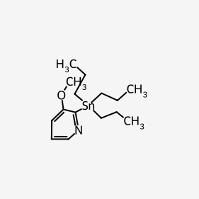 CC[CH2][Sn]([CH2]CC)([CH2]CC)[c]1ncccc1OC